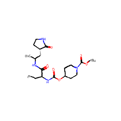 CC(C)CC(NC(=O)OC1CCN(C(=O)OC(C)(C)C)CC1)C(=O)NC(C=O)C[C@@H]1CCNC1=O